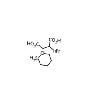 C1CC[SiH2]OC1.CCCC(CC(=O)O)C(=O)O